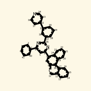 c1ccc(-c2cc(-c3cc4ccc5ccccc5c4c4ccccc34)nc(-c3cccc(-c4ccncc4)c3)n2)cc1